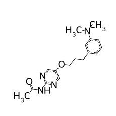 CC(=O)Nc1ncc(OCCCc2cccc(N(C)C)c2)cn1